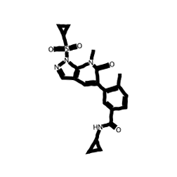 Cc1ccc(C(=O)NC2CC2)cc1-c1cc2cnn(S(=O)(=O)C3CC3)c2n(C)c1=O